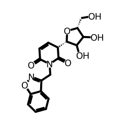 O=C1C=CC([C@@H]2O[C@H](CO)C(O)C2O)C(=O)N1Cc1noc2ccccc12